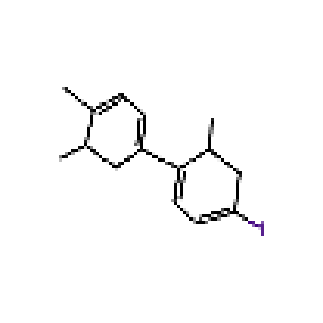 CC1=CC=C(C2=CC=C(I)CC2C)CC1C